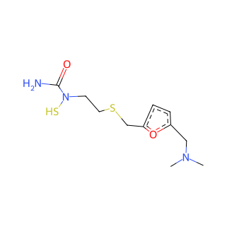 CN(C)Cc1ccc(CSCCN(S)C(N)=O)o1